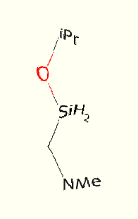 CNC[SiH2]OC(C)C